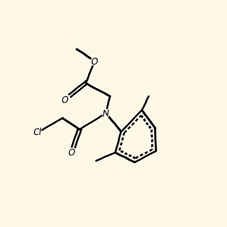 COC(=O)CN(C(=O)CCl)c1c(C)cccc1C